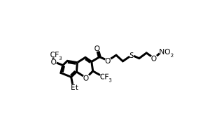 CCc1cc(OC(F)(F)F)cc2c1OC(C(F)(F)F)C(C(=O)OCCSCCO[N+](=O)[O-])=C2